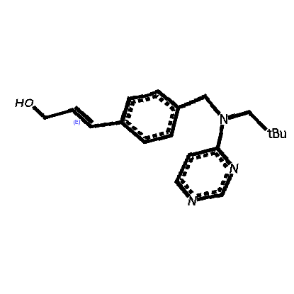 CC(C)(C)CN(Cc1ccc(/C=C/CO)cc1)c1ccncn1